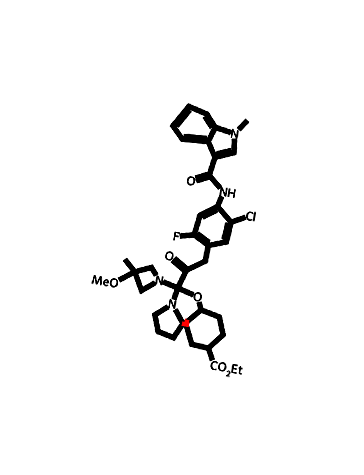 CCOC(=O)C1CCC(OC(C(=O)Cc2cc(Cl)c(NC(=O)c3cn(C)c4ccccc34)cc2F)(N2CCCC2)N2CC(C)(OC)C2)CC1